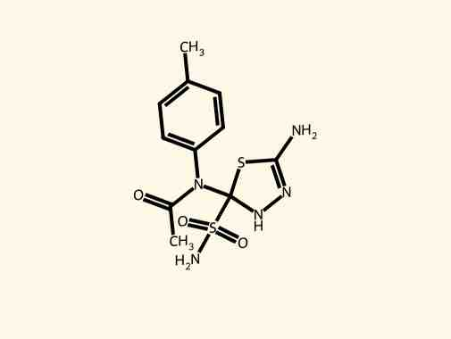 CC(=O)N(c1ccc(C)cc1)C1(S(N)(=O)=O)NN=C(N)S1